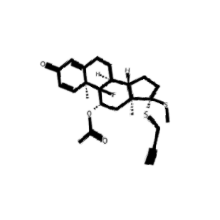 C#CCS[C@@]1(SC)CC[C@H]2[C@@H]3CCC4=CC(=O)C=C[C@]4(C)C3(F)[C@@H](OC(C)=O)C[C@@]21C